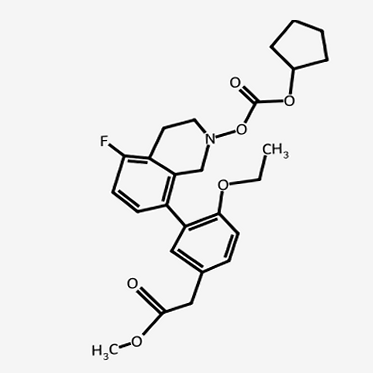 CCOc1ccc(CC(=O)OC)cc1-c1ccc(F)c2c1CN(OC(=O)OC1CCCC1)CC2